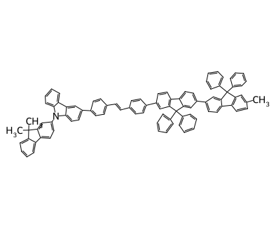 Cc1ccc2c(c1)C(c1ccccc1)(c1ccccc1)c1cc(-c3ccc4c(c3)C(c3ccccc3)(c3ccccc3)c3cc(-c5ccc(/C=C/c6ccc(-c7ccc8c(c7)c7ccccc7n8-c7ccc8c(c7)C(C)(C)c7ccccc7-8)cc6)cc5)ccc3-4)ccc1-2